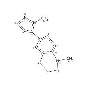 CN1CCCc2cc(-c3ccnn3C)ccc21